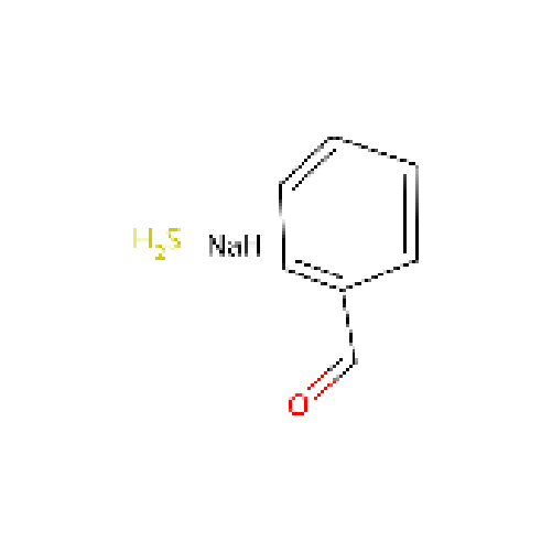 O=Cc1ccccc1.S.[NaH]